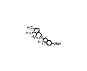 COc1ccc2[nH]c([S@@+]([O-])Cc3ncc(C)c(OC)c3C)nc2c1.[Zn]